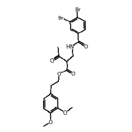 COc1ccc(CCOC(=O)C(CNC(=O)c2ccc(Br)c(Br)c2)C(C)=O)cc1OC